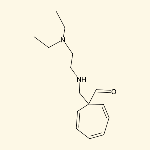 CCN(CC)CCNCC1(C=O)C=CC=CC=C1